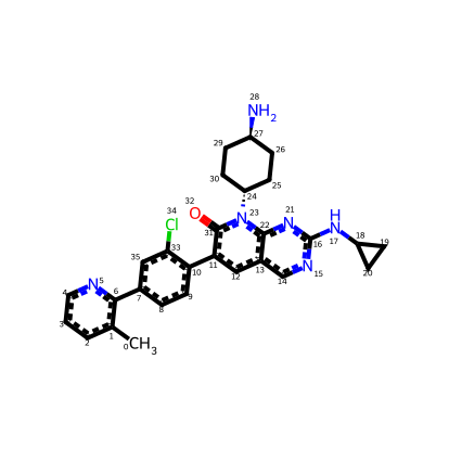 Cc1cccnc1-c1ccc(-c2cc3cnc(NC4CC4)nc3n([C@H]3CC[C@H](N)CC3)c2=O)c(Cl)c1